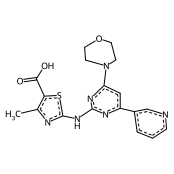 Cc1nc(Nc2nc(-c3cccnc3)cc(N3CCOCC3)n2)sc1C(=O)O